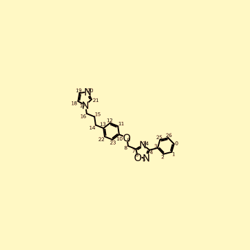 c1ccc(-c2noc(COc3ccc(CCCn4ccnc4)cc3)n2)cc1